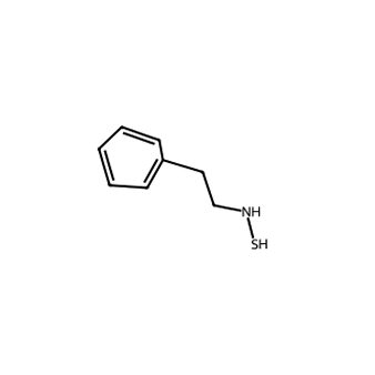 SNCCc1ccccc1